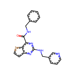 O=C(NCc1ccccc1)c1nc(NCc2cccnc2)nc2ccsc12